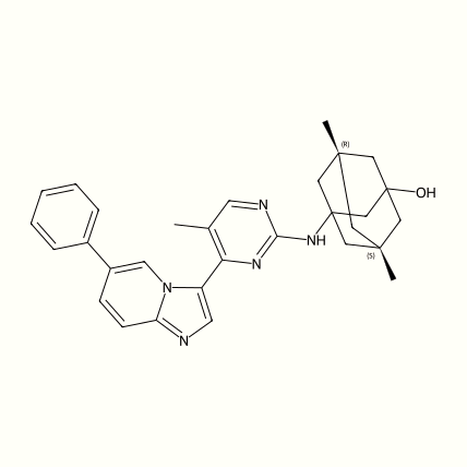 Cc1cnc(NC23CC4(O)C[C@@](C)(C2)C[C@](C)(C4)C3)nc1-c1cnc2ccc(-c3ccccc3)cn12